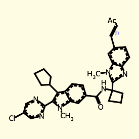 CC(=O)/C=C/c1ccc2nc(C3(NC(=O)c4ccc5c(C6CCCC6)c(-c6ncc(Cl)cn6)n(C)c5c4)CCC3)n(C)c2c1